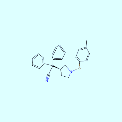 Cc1ccc(SN2CC[C@@H](C(C#N)(c3ccccc3)c3ccccc3)C2)cc1